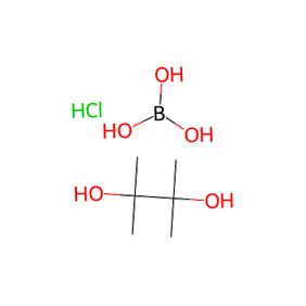 CC(C)(O)C(C)(C)O.Cl.OB(O)O